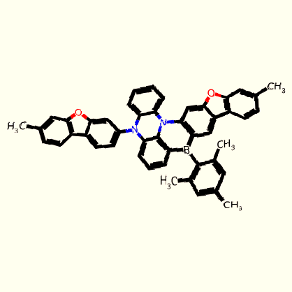 Cc1cc(C)c(B2c3cc4c(cc3N3c5ccccc5N(c5ccc6c(c5)oc5cc(C)ccc56)c5cccc2c53)oc2cc(C)ccc24)c(C)c1